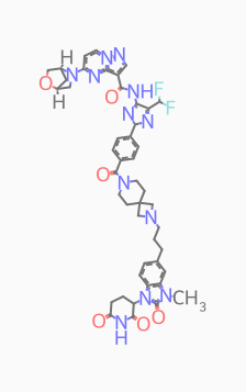 Cn1c(=O)n(C2CCC(=O)NC2=O)c2ccc(CCCN3CC4(CCN(C(=O)c5ccc(C6N=C(NC(=O)c7cnn8ccc(N9C[C@H]%10C[C@@H]9CO%10)nc78)C(C(F)F)=N6)cc5)CC4)C3)cc21